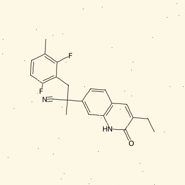 CCc1cc2ccc(C(C)(C#N)Cc3c(F)ccc(C)c3F)cc2[nH]c1=O